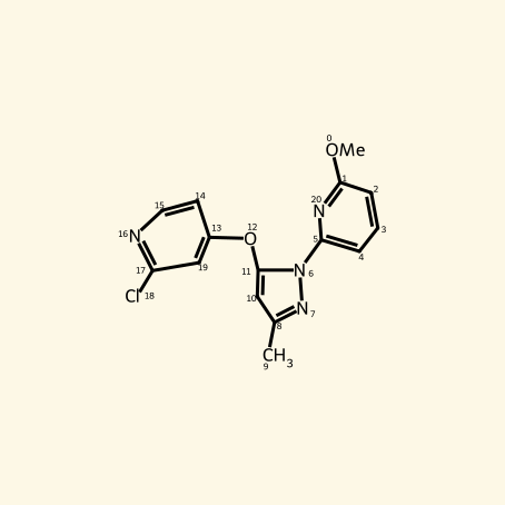 COc1cccc(-n2nc(C)cc2Oc2ccnc(Cl)c2)n1